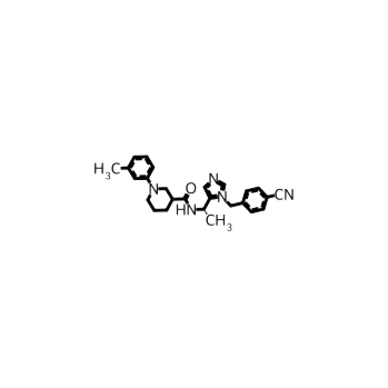 Cc1cccc(N2CCCC(C(=O)N[C@@H](C)c3cncn3Cc3ccc(C#N)cc3)C2)c1